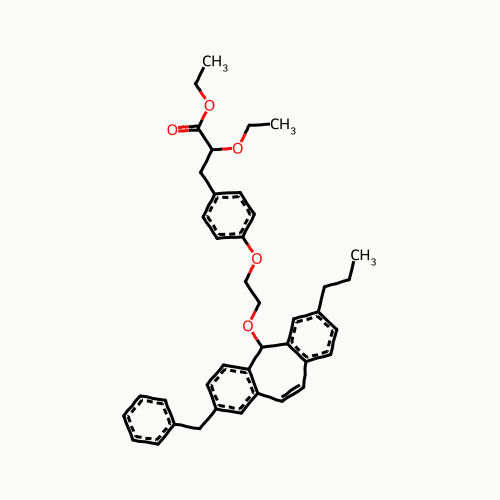 CCCc1ccc2c(c1)C(OCCOc1ccc(CC(OCC)C(=O)OCC)cc1)c1ccc(Cc3ccccc3)cc1C=C2